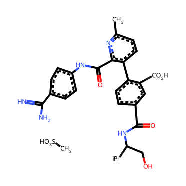 CS(=O)(=O)O.Cc1ccc(-c2ccc(C(=O)NC(CO)C(C)C)cc2C(=O)O)c(C(=O)Nc2ccc(C(=N)N)cc2)n1